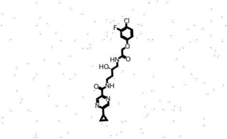 O=C(COc1ccc(Cl)c(F)c1)NC[C@@H](O)CCNC(=O)c1cnc(C2CC2)cn1